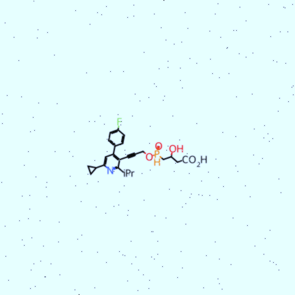 CC(C)c1nc(C2CC2)cc(-c2ccc(F)cc2)c1C#CCO[PH](=O)CC(O)CC(=O)O